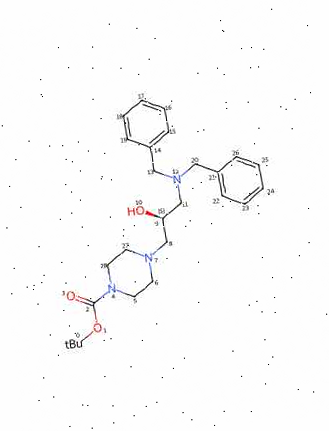 CC(C)(C)OC(=O)N1CCN(C[C@@H](O)CN(Cc2ccccc2)Cc2ccccc2)CC1